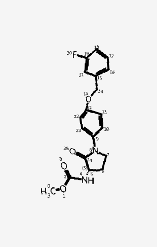 COC(=O)N[C@H]1CCN(c2ccc(OCc3cccc(F)c3)cc2)C1=O